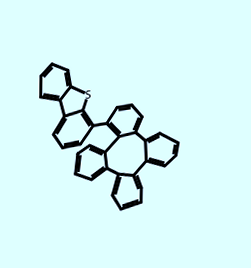 c1ccc2c(c1)-c1ccccc1-c1cccc(-c3cccc4c3sc3ccccc34)c1-c1ccccc1-2